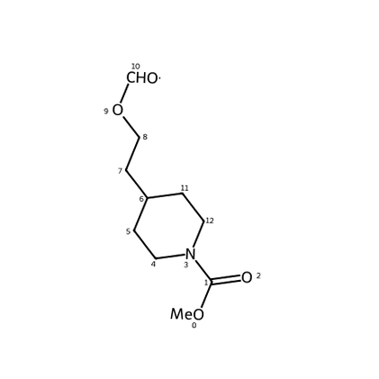 COC(=O)N1CCC(CCO[C]=O)CC1